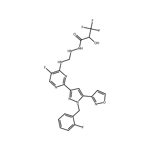 O=C(NNCNc1nc(-c2cc(-c3ccon3)n(Cc3ccccc3F)n2)ncc1F)C(O)C(F)(F)F